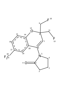 O=C1CCCN1C1=CC(CF)(CF)Oc2ccc(C(F)(F)F)cc21